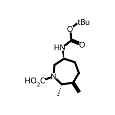 C=C1CC[C@H](NC(=O)OC(C)(C)C)CN(C(=O)O)[C@H]1C